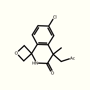 CC(=O)CC1(C)C(=O)NC2(COC2)c2ccc(Cl)cc21